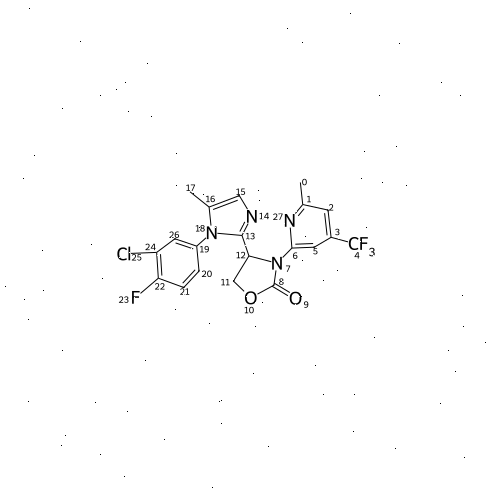 Cc1cc(C(F)(F)F)cc(N2C(=O)OCC2c2ncc(C)n2-c2ccc(F)c(Cl)c2)n1